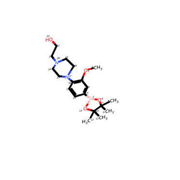 COc1cc(B2OC(C)(C)C(C)(C)O2)ccc1N1CCN(CCO)CC1